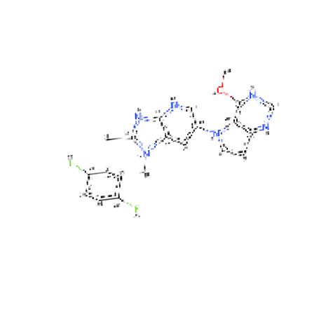 COc1ncnc2ccn(-c3cnc4nc(C)n(Cc5cc(F)ccc5F)c4c3)c12